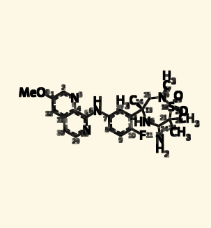 COc1cnc2c(Nc3ccc(F)c([C@]4(C)CN(C)S(=O)(=O)C(C)(C)C(N)N4)c3)nccc2c1